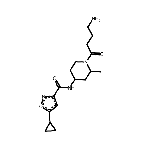 C[C@H]1CC(NC(=O)c2cc(C3CC3)on2)CCN1C(=O)CCCN